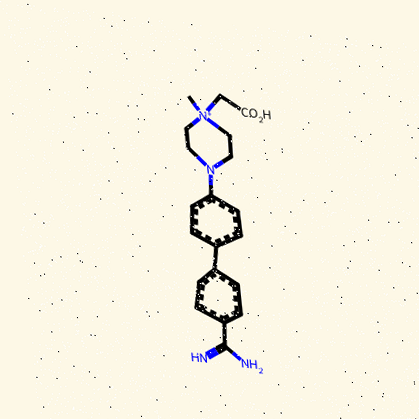 C[N+]1(CC(=O)O)CCN(c2ccc(-c3ccc(C(=N)N)cc3)cc2)CC1